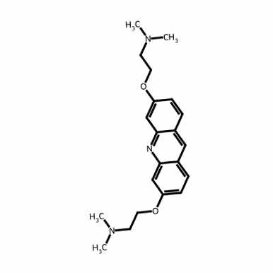 CN(C)CCOc1ccc2cc3ccc(OCCN(C)C)cc3nc2c1